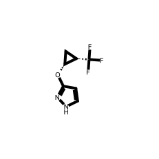 FC(F)(F)[C@H]1C[C@H]1Oc1cc[nH]n1